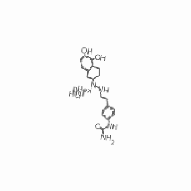 CCCCCCN(NCCc1ccc(NC(N)=O)cc1)C1CCc2c(ccc(O)c2O)C1.Cl.Cl